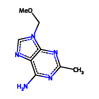 COCn1cnc2c(N)nc(C)nc21